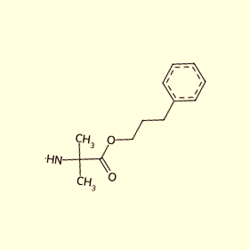 CC(C)([NH])C(=O)OCCCc1ccccc1